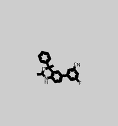 CC1Nc2ccc(-c3cc(F)cc(C#N)c3)cc2C(C)(c2ccccc2)O1